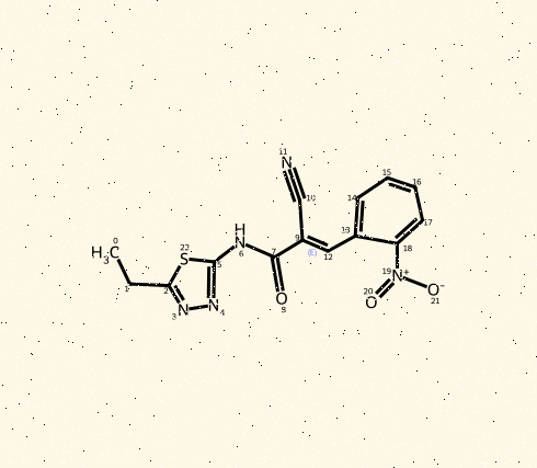 CCc1nnc(NC(=O)/C(C#N)=C/c2ccccc2[N+](=O)[O-])s1